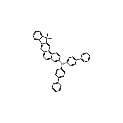 CC1(C)c2ccccc2-c2cc3ccc4cc(N(c5ccc(-c6ccccc6)cc5)c5ccc(-c6ccccc6)cc5)ccc4c3cc21